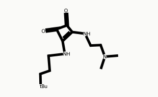 CN(C)CCNc1c(NCCCC(C)(C)C)c(=O)c1=O